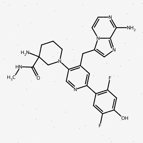 CNC(=O)C1(N)CCCN(c2cnc(-c3cc(F)c(O)cc3F)cc2Cc2cnc3c(N)nccn23)C1